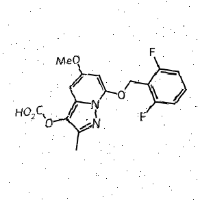 COc1cc(OCc2c(F)cccc2F)n2nc(C)c(OC(=O)O)c2c1